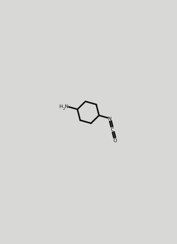 NC1CCC(N=C=O)CC1